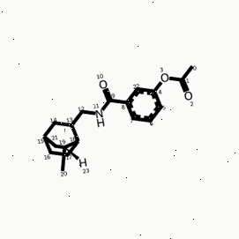 CC(=O)Oc1cccc(C(=O)NCC2CC3CCC2[C@H](C)C3)c1